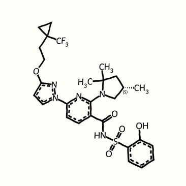 C[C@@H]1CN(c2nc(-n3ccc(OCCC4(C(F)(F)F)CC4)n3)ccc2C(=O)NS(=O)(=O)c2ccccc2O)C(C)(C)C1